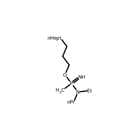 CCCCCCCCCCOP(C)(=N)N(CC)CCC